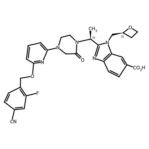 C[C@@H](c1nc2ccc(C(=O)O)cc2n1C[C@@H]1CCO1)N1CCN(c2cccc(OCc3ccc(C#N)cc3F)n2)CC1=O